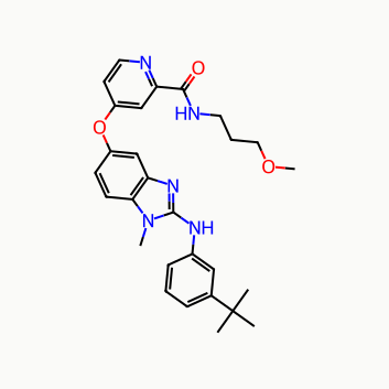 COCCCNC(=O)c1cc(Oc2ccc3c(c2)nc(Nc2cccc(C(C)(C)C)c2)n3C)ccn1